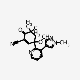 COC1(c2ncccc2-c2cnn(C)c2)C=C(C#N)C(=O)C(C)(C)C1